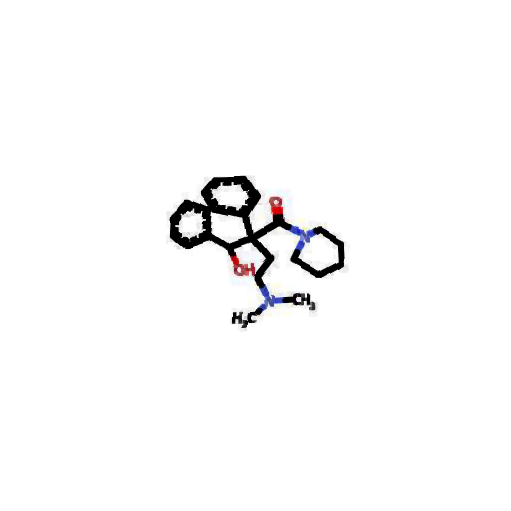 CN(C)CCC(C(=O)N1CCCCC1)(c1ccccc1)C(O)c1ccccc1